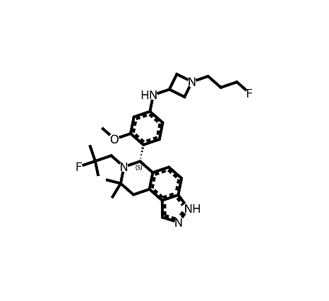 COc1cc(NC2CN(CCCF)C2)ccc1[C@@H]1c2ccc3[nH]ncc3c2CC(C)(C)N1CC(C)(C)F